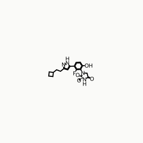 O=C1CN(c2c(O)ccc(-c3cc(CCC4CCC4)n[nH]3)c2F)S(=O)(=O)N1